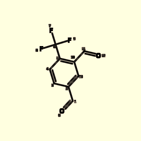 O=Cc1ccc(C(F)(F)F)c(C=O)c1